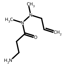 C=CCN(C)N(C)C(=O)CCN